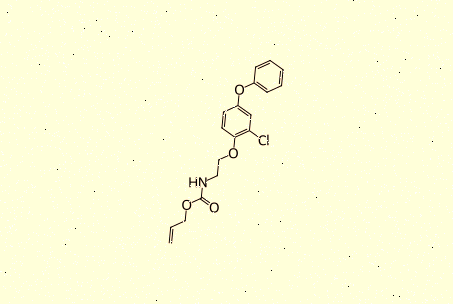 C=CCOC(=O)NCCOc1ccc(Oc2ccccc2)cc1Cl